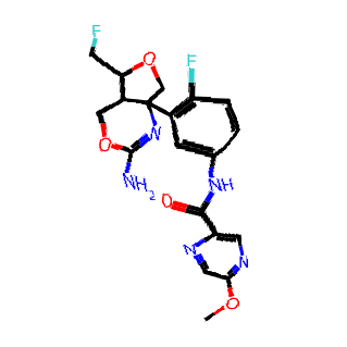 COc1cnc(C(=O)Nc2ccc(F)c(C34COC(CF)C3COC(N)=N4)c2)cn1